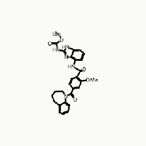 COc1cc(C(=O)N2CCCCc3ccccc32)ccc1C(=O)Nc1cccc2[nH]c(NC(=O)OC(C)(C)C)nc12